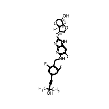 CC(C)(O)C#Cc1cc(F)c(CNc2nc3nc(O[C@@H]4CO[C@H]5[C@@H]4OC[C@H]5O)[nH]c3cc2Cl)c(F)c1